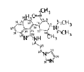 CCN(CC)C1CC(C(C)C)C(c2ccc3cccc4c3c2C(NCCCn2ccnc2)=N4)CC1C